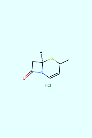 CC1C=CN2C(=O)C[C@H]2S1.Cl